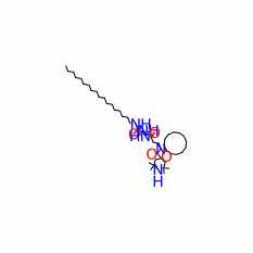 CCCCCCCCCCCCCCCCCCNC(=O)NNC(=O)CCN1C(=O)C2(CC(C)(C)NC(C)(C)C2)OC12CCCCCCCCCCC2